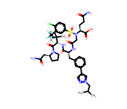 CC(C)Cn1cc(-c2cccc(C[C@H](NC(=O)CN([C@@H](CCC(N)=O)C(=O)O)S(=O)(=O)c3ccc(Cl)c(C(F)(F)F)c3)C(=O)N[C@H](C(=O)N3CCC[C@H]3CC(N)=O)C(C)(C)C)c2)cn1